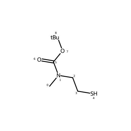 CN(CCS)C(=O)OC(C)(C)C